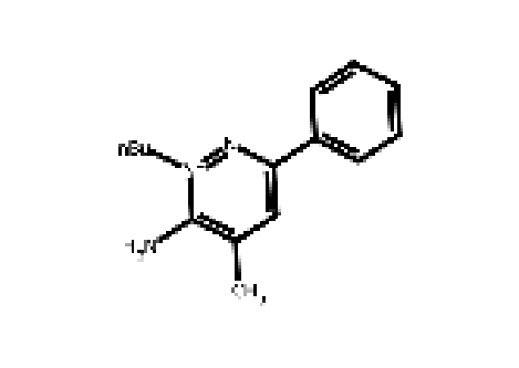 CCCC[n+]1nc(-c2ccccc2)cc(C)c1N